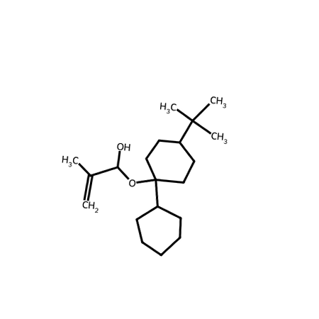 C=C(C)C(O)OC1(C2CCCCC2)CCC(C(C)(C)C)CC1